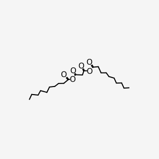 CCCCCCCCCC(=O)OC(=O)CC(=O)OC(=O)CCCCCCCCC